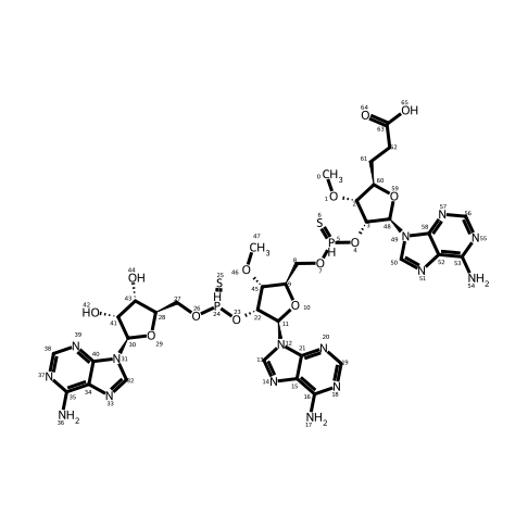 CO[C@H]1[C@@H](O[PH](=S)OC[C@H]2O[C@@H](n3cnc4c(N)ncnc43)[C@H](O[PH](=S)OC[C@H]3O[C@@H](n4cnc5c(N)ncnc54)[C@H](O)[C@@H]3O)[C@@H]2OC)[C@H](n2cnc3c(N)ncnc32)O[C@@H]1CCC(=O)O